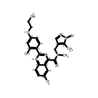 CCn1ncc(CN(C)C(=O)c2nc(-c3ccc(OCCO)cc3Cl)nc3ccc(Cl)cc23)c1C